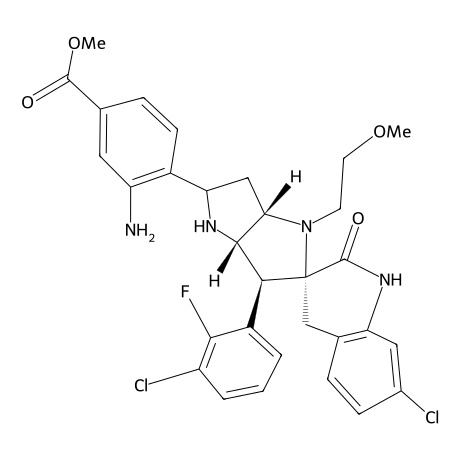 COCCN1[C@H]2CC(c3ccc(C(=O)OC)cc3N)N[C@H]2[C@H](c2cccc(Cl)c2F)[C@@]12Cc1ccc(Cl)cc1NC2=O